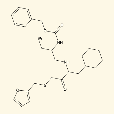 CC(C)CC(CNC(CC1CCCCC1)C(=O)CSCc1ccco1)NC(=O)OCc1ccccc1